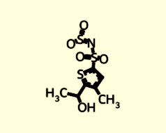 Cc1cc(S(=O)(=O)N=S(=O)=O)sc1C(C)O